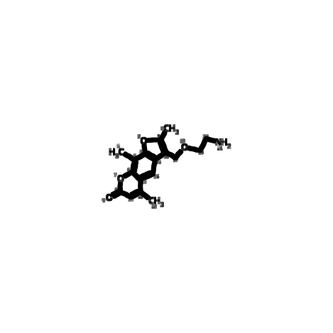 Cc1oc2c(C)c3oc(=O)cc(C)c3cc2c1COCCN